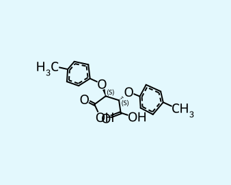 Cc1ccc(O[C@H](C(=O)O)[C@H](Oc2ccc(C)cc2)C(=O)O)cc1